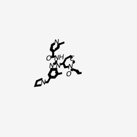 CC=CC(=O)N1CCCCC(n2c(NC(=O)c3ccnc(C)c3)nc3cc(CN4CCCC4)cc(C)c32)C1